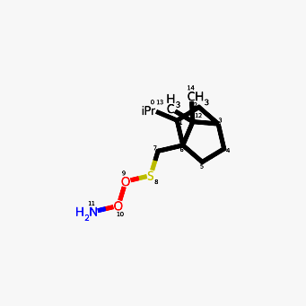 CC(C)C1CC2CCC1(CSOON)C2(C)C